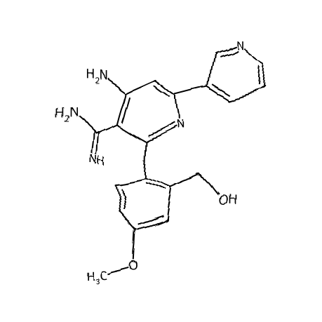 COc1ccc(-c2nc(-c3cccnc3)cc(N)c2C(=N)N)c(CO)c1